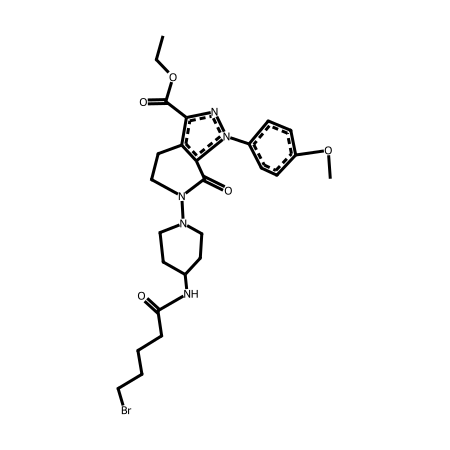 CCOC(=O)c1nn(-c2ccc(OC)cc2)c2c1CCN(N1CCC(NC(=O)CCCCBr)CC1)C2=O